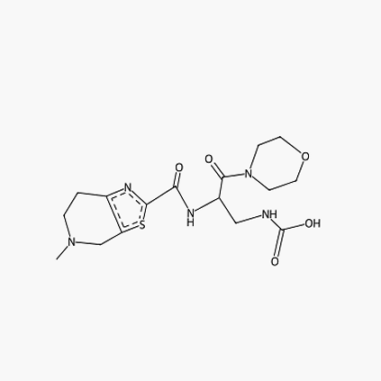 CN1CCc2nc(C(=O)NC(CNC(=O)O)C(=O)N3CCOCC3)sc2C1